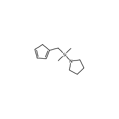 C[Si](C)(CC1=CC=CC1)N1CCCC1